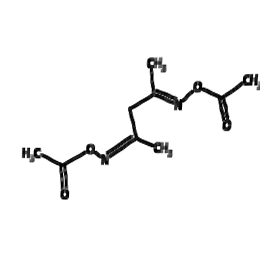 CC(=O)ON=C(C)CC(C)=NOC(C)=O